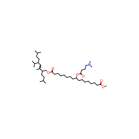 COC(=O)CCCCCCCC(CCCCCCCC(=O)OCC(CCC(C)C)/C(C)=C/C(CCC(C)C)C(C)C)OC(=O)CCCN(C)C